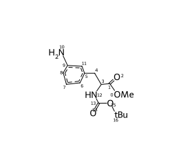 COC(=O)C(Cc1cccc(N)c1)NC(=O)OC(C)(C)C